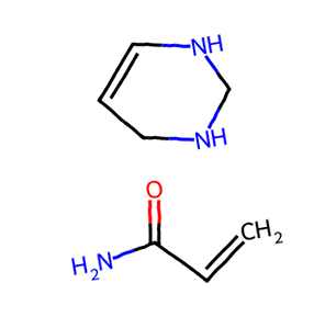 C1=CNCNC1.C=CC(N)=O